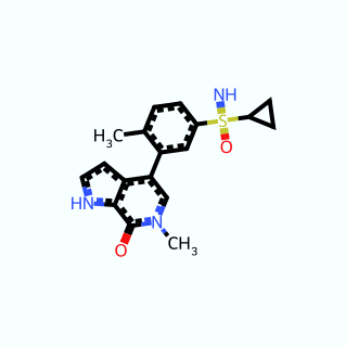 Cc1ccc(S(=N)(=O)C2CC2)cc1-c1cn(C)c(=O)c2[nH]ccc12